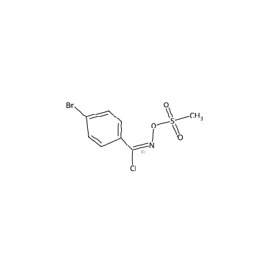 CS(=O)(=O)O/N=C(/Cl)c1ccc(Br)cc1